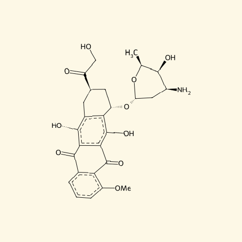 COc1cccc2c1C(=O)c1c(O)c3c(c(O)c1C2=O)C[C@@H](C(=O)CO)C[C@@H]3O[C@H]1C[C@H](N)[C@H](O)[C@H](C)O1